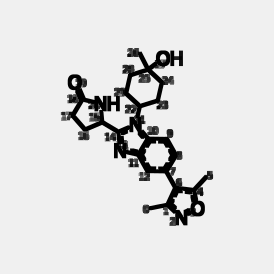 Cc1noc(C)c1-c1ccc2c(c1)nc(C1CCC(=O)N1)n2C1CCC(C)(O)CC1